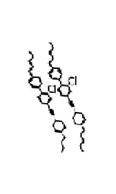 CCCCCc1ccc(-c2ccc(C#C[C@H]3CC[C@H](CCCC)CC3)cc2Cl)cc1.CCCCCc1ccc(-c2ccc(C#C[C@H]3CC[C@H](CCCCC)CC3)cc2Cl)cc1